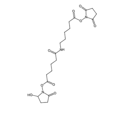 O=C(CCCCC(=O)ON1C(=O)CCC1O)NCCCCCC(=O)ON1C(=O)CCC1=O